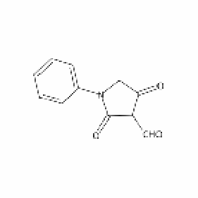 O=CC1C(=O)CN(c2ccccc2)C1=O